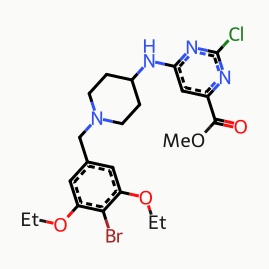 CCOc1cc(CN2CCC(Nc3cc(C(=O)OC)nc(Cl)n3)CC2)cc(OCC)c1Br